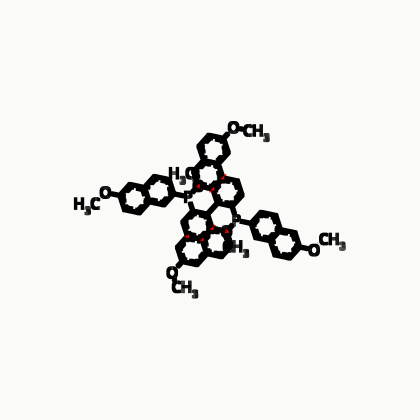 COc1ccc2cc(P(c3ccc4cc(OC)ccc4c3)c3cccc(OC)c3-c3c(OC)cccc3P(c3ccc4cc(OC)ccc4c3)c3ccc4cc(OC)ccc4c3)ccc2c1